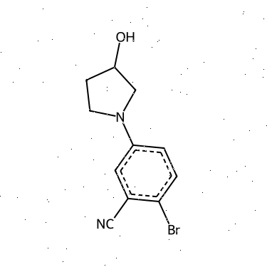 N#Cc1cc(N2CCC(O)C2)ccc1Br